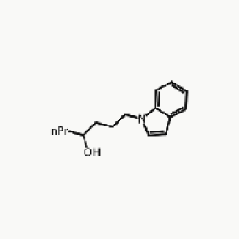 CCCC(O)CCCn1ccc2ccccc21